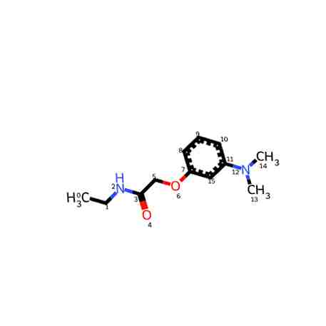 CCNC(=O)COc1cccc(N(C)C)c1